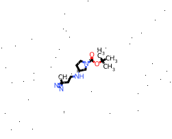 CC1(CCN[C@@H]2CCN(C(=O)OC(C)(C)C)C2)N=N1